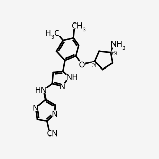 Cc1cc(O[C@@H]2CC[C@H](N)C2)c(-c2cc(Nc3cnc(C#N)cn3)n[nH]2)cc1C